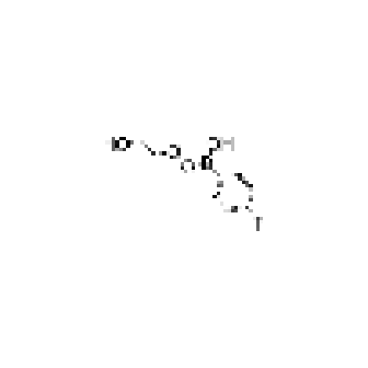 OCCOOB(O)c1ccc(F)cc1